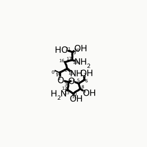 C[C@H](OC1OC(CO)C(O)C(O)C1N)C(N)CC(N)C(O)O